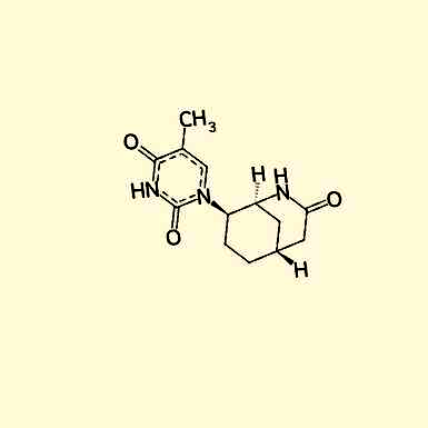 Cc1cn([C@@H]2CC[C@H]3CC(=O)N[C@H]2C3)c(=O)[nH]c1=O